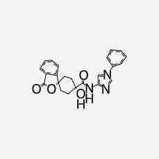 O=C1OC2(CCC(O)(C(=O)Nc3cn(-c4ccccc4)cn3)CC2)c2ccccc21